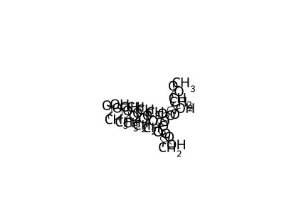 C=C(CC(=O)OC(=O)/C=C\C(=O)OC(=O)CC(=C)C(=O)O)C(=O)O.C=CC(=O)OC.C=CC(=O)OC.C=CC(=O)OC.C=CC(=O)OC.CC=CC(=O)O.CC=CC(=O)O